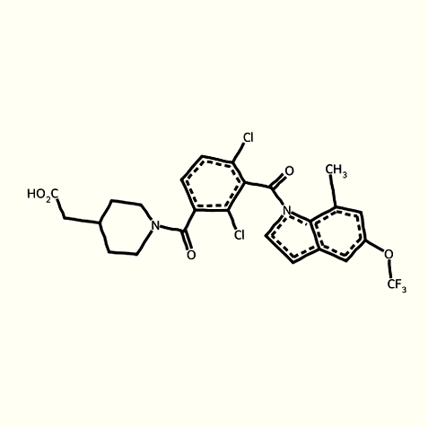 Cc1cc(OC(F)(F)F)cc2ccn(C(=O)c3c(Cl)ccc(C(=O)N4CCC(CC(=O)O)CC4)c3Cl)c12